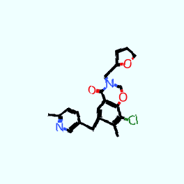 Cc1ccc(Cc2cc3c(c(Cl)c2C)OCN(CC2CCCO2)C3=O)cn1